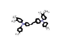 Cc1ccc(N(c2ccc(/C=C/c3ccc(N(c4ccc(C)cc4)c4ccc(C)c(C)c4)cc3)cc2)c2ccc(C)c(C)c2)cc1